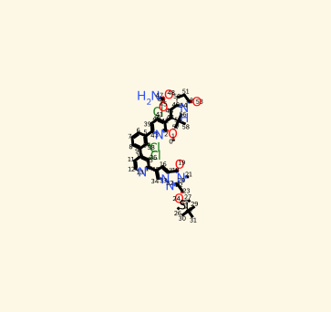 COc1nc(-c2cccc(-c3ccnc(-c4cc5c(=O)n(C)c(CO[Si](C)(C)C(C)(C)C)nn5c4)c3Cl)c2Cl)cc(Cl)c1[C@@H]([C@H](OC(N)=O)[C@@H]1CCC(=O)N1)C(C)(C)C